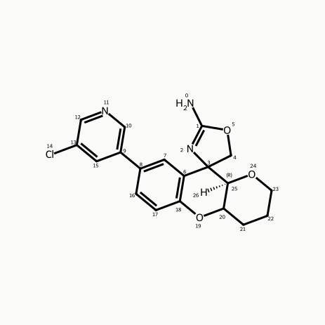 NC1=NC2(CO1)c1cc(-c3cncc(Cl)c3)ccc1OC1CCCO[C@@H]12